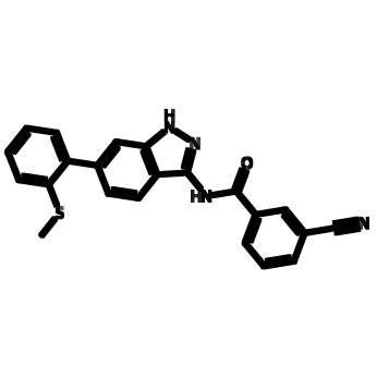 CSc1ccccc1-c1ccc2c(NC(=O)c3cccc(C#N)c3)n[nH]c2c1